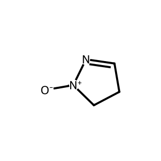 [O-][N+]1CCC=N1